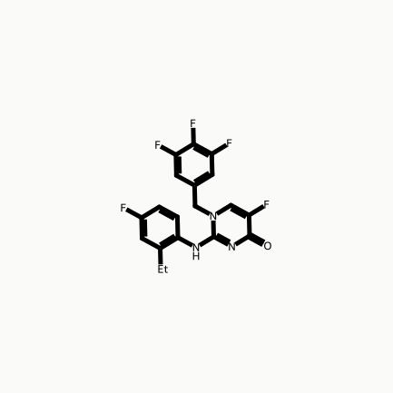 CCc1cc(F)ccc1Nc1nc(=O)c(F)cn1Cc1cc(F)c(F)c(F)c1